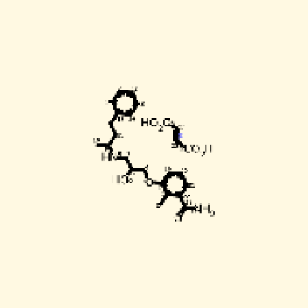 Cc1c(OCC(O)CNC(C)CCc2ccccc2)cccc1C(N)=O.O=C(O)/C=C/C(=O)O